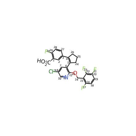 O=C(O)c1cc(C2=C(c3cc(Cl)cnc3OCc3c(F)ccc(F)c3F)CCC2)ccc1F